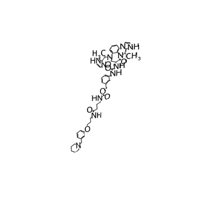 CC(c1ncc[nH]1)N1C(=O)C(NC(=O)Nc2cccc(COC(=O)NCCCC(=O)NCCCOc3cccc(CN4CCCCC4)c3)c2)C(=O)N(C(C)c2ncc[nH]2)c2ccccc21